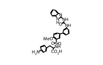 COc1ccc(-c2cccc(NC(=O)Nc3nc4ccccc4[nH]3)c2)cc1S(=O)(=O)NC(Cc1ccc(N)cc1)C(=O)O